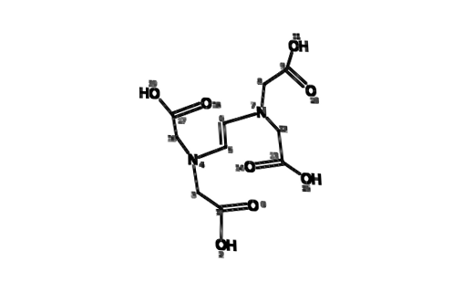 O=C(O)CN(C=CN(CC(=O)O)CC(=O)O)CC(=O)O